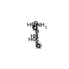 NC(=O)c1cc(OCCNCC(O)CCc2ccccc2)ccc1O